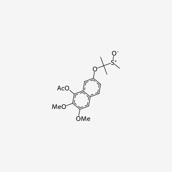 COc1cc2ccc(OC(C)(C)[S+](C)[O-])cc2c(OC(C)=O)c1OC